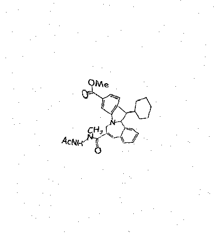 COC(=O)c1ccc2c(c1)N1CC(C(=O)N(C)NC(C)=O)=Cc3ccccc3C1C2C1CCCCC1